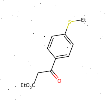 CCOC(=O)CC(=O)c1ccc(SCC)cc1